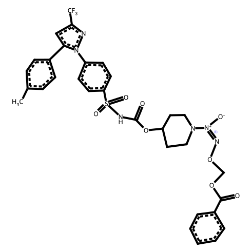 Cc1ccc(-c2cc(C(F)(F)F)nn2-c2ccc(S(=O)(=O)NC(=O)OC3CCN(/[N+]([O-])=N\OCOC(=O)c4ccccc4)CC3)cc2)cc1